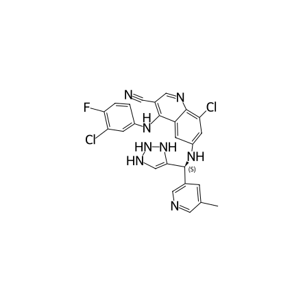 Cc1cncc([C@H](Nc2cc(Cl)c3ncc(C#N)c(Nc4ccc(F)c(Cl)c4)c3c2)C2=CNNN2)c1